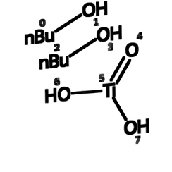 CCCCO.CCCCO.[O]=[Ti]([OH])[OH]